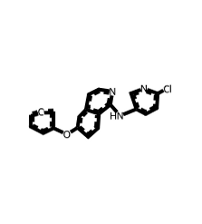 Clc1ccc(Nc2nccc3cc(Oc4ccccc4)ccc23)cn1